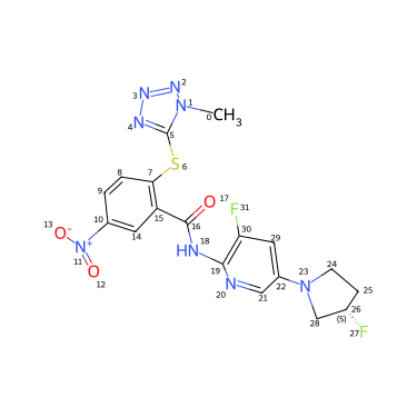 Cn1nnnc1Sc1ccc([N+](=O)[O-])cc1C(=O)Nc1ncc(N2CC[C@H](F)C2)cc1F